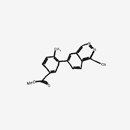 COC(=O)c1ccc(C)c(-c2ccc3c(C#N)nncc3c2)c1